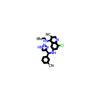 CC(C)(C)CNc1c(C#N)cnc2c(Cl)cc(NC(c3cccc(C#N)c3)c3c[nH]nn3)cc12